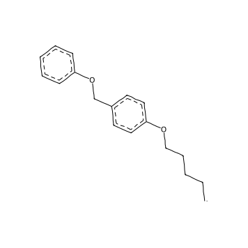 [CH2]CCCCOc1ccc(COc2ccccc2)cc1